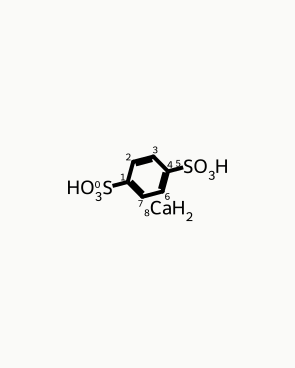 O=S(=O)(O)c1ccc(S(=O)(=O)O)cc1.[CaH2]